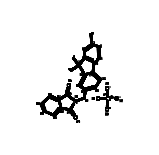 Cc1cc[n+]2c(c1)C(C)(C)c1cc(CN3C(=O)c4ccccc4C3=O)ccc1-2.[O-][Cl+3]([O-])([O-])[O-]